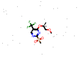 COC[C@H](C)Oc1nc(S(C)(=O)=O)ncc1C(F)(F)F